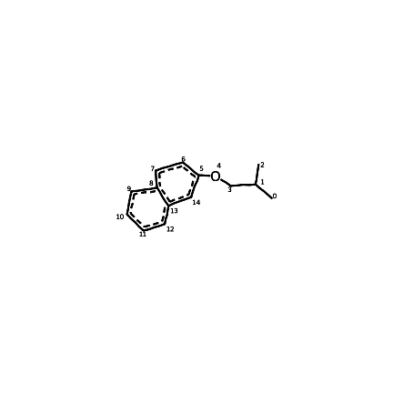 CC(C)COc1ccc2ccccc2c1